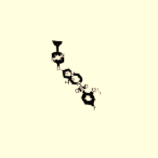 Cc1cc(F)ccc1S(=O)(=O)N1CCN2C[C@@H](Oc3cnc(C4CC4)cn3)C[C@H]2C1